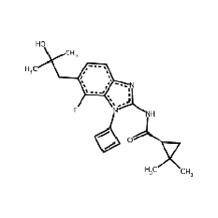 CC(C)(O)Cc1ccc2nc(NC(=O)[C@H]3CC3(C)C)n(C3=CC=C3)c2c1F